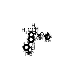 CC1(C)Cc2cc(-c3cccc(C(F)(F)F)c3Cl)ccc2C1NC(=O)O[C@H]1CN2CCC1CC2